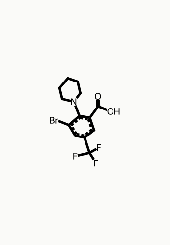 O=C(O)c1cc(C(F)(F)F)cc(Br)c1N1CCCCC1